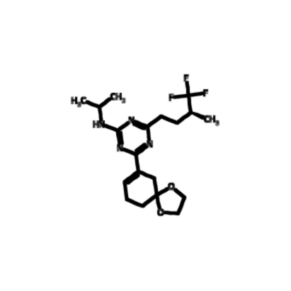 CC(C)Nc1nc(CC[C@H](C)C(F)(F)F)nc(C2=CCCC3(C2)OCCO3)n1